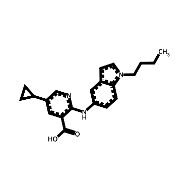 CCCCn1ccc2cc(Nc3ncc(C4CC4)cc3C(=O)O)ccc21